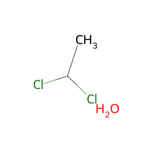 CC(Cl)Cl.O